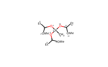 CCC(OC)O[Si](C)(OC(CC)OC)OC(CC)OC